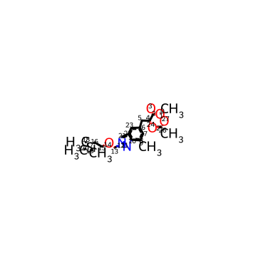 COC(=O)C(Cc1cc(C)c2nn(COCC[Si](C)(C)C)cc2c1)OC(C)=O